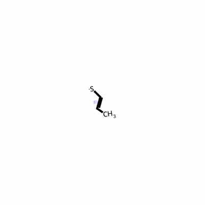 C/C=C/[S]